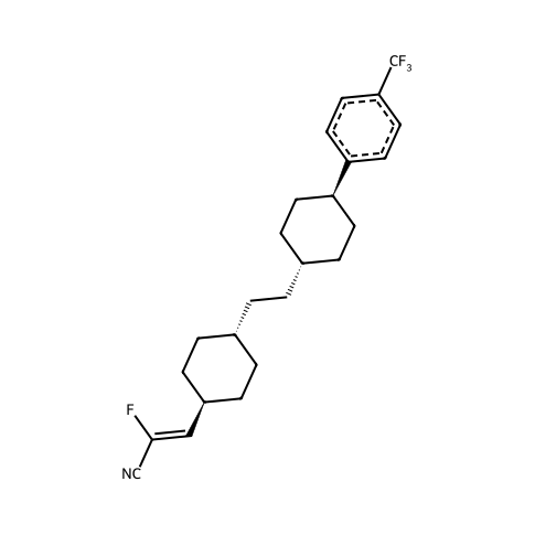 N#CC(F)=C[C@H]1CC[C@H](CC[C@H]2CC[C@H](c3ccc(C(F)(F)F)cc3)CC2)CC1